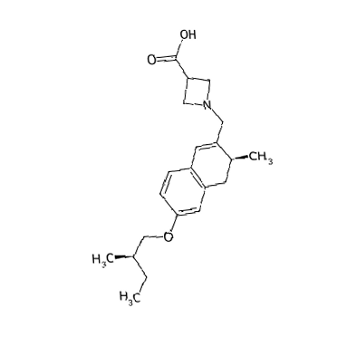 CC[C@@H](C)COc1ccc2c(c1)C[C@H](C)C(CN1CC(C(=O)O)C1)=C2